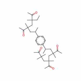 CCC(C)(CC(C)(CC(C)c1ccc(C(C)CC(C)(CC(C)(CC(C)(C)C(C)=O)C(C)=O)C(C)=O)cc1)C(C)=O)C(C)=O